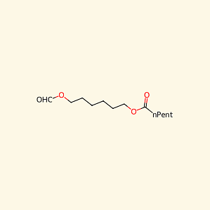 CCCCCC(=O)OCCCCCCOC=O